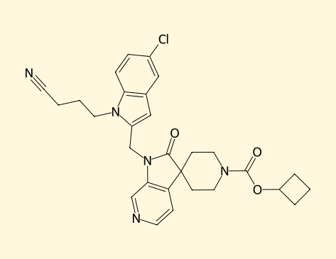 N#CCCCn1c(CN2C(=O)C3(CCN(C(=O)OC4CCC4)CC3)c3ccncc32)cc2cc(Cl)ccc21